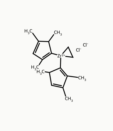 CC1=CC(C)[C]([Zr+2]2([C]3=C(C)C=C(C)C3C)[CH2][CH2]2)=C1C.[Cl-].[Cl-]